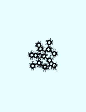 CC1(C)c2ccccc2-c2ccc(-c3cc4c5c(c3)N(c3cc(-c6ccccc6)cc(-c6ccccc6)c3)c3cc6ccccc6cc3B5c3cc5ccccc5cc3N4c3cc(-c4ccccc4)cc(-c4ccccc4)c3)cc21